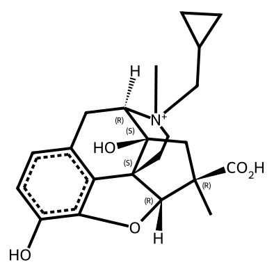 C[C@@]1(C(=O)O)C[C@@]2(O)[C@H]3Cc4ccc(O)c5c4[C@@]2(CC[N+]3(C)CC2CC2)[C@H]1O5